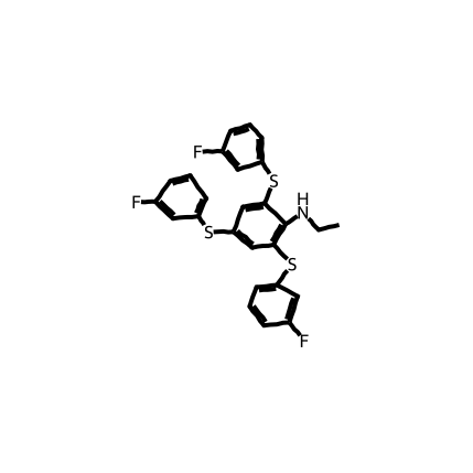 CCNc1c(Sc2cccc(F)c2)cc(Sc2cccc(F)c2)cc1Sc1cccc(F)c1